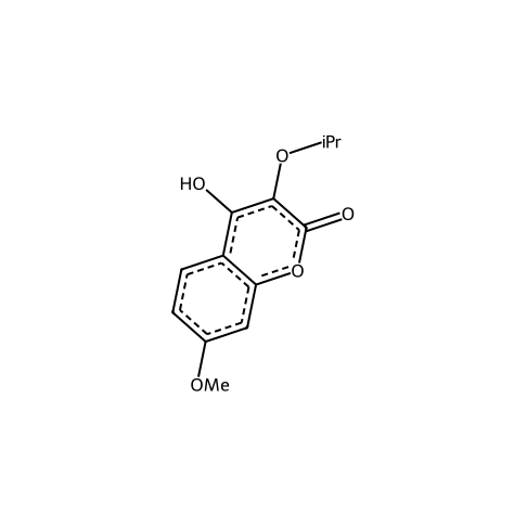 COc1ccc2c(O)c(OC(C)C)c(=O)oc2c1